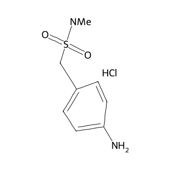 CNS(=O)(=O)Cc1ccc(N)cc1.Cl